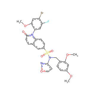 COc1ccc(CN(c2ccon2)S(=O)(=O)c2ccc3c(ccc(=O)n3-c3cc(F)c(Br)cc3OC)c2)c(OC)c1